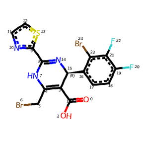 O=C(O)C1=C(CBr)NC(c2nccs2)=N[C@H]1c1ccc(F)c(F)c1Br